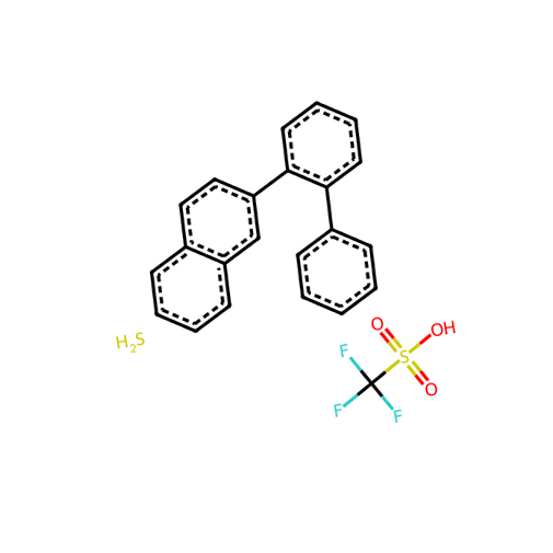 O=S(=O)(O)C(F)(F)F.S.c1ccc(-c2ccccc2-c2ccc3ccccc3c2)cc1